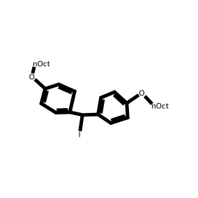 CCCCCCCCOc1ccc(C(I)c2ccc(OCCCCCCCC)cc2)cc1